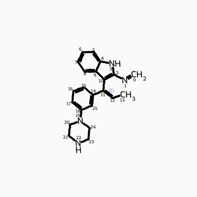 C=Nc1[nH]c2ccccc2c1/C(=C\C)c1cccc(N2CCNCC2)c1